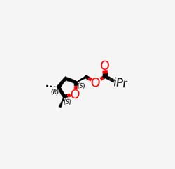 CC(C)C(=O)OC[C@@H]1C[C@@H](C)[C@H](C)O1